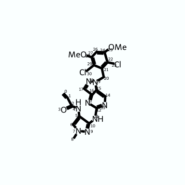 C=CC(=O)Nc1cn(C)nc1Nc1ncc2c(cnn2Cc2c(Cl)c(OC)cc(OC)c2Cl)n1